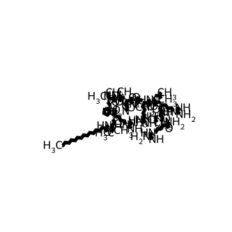 CCCCCCCCCCCCCCCC(=O)N[C@H](C(=O)C[C@@H](CCCNC(=N)N)C(=O)N1CCC[C@H]1C(=O)C[C@H](C(=O)N[C@@H](C)C(=O)C[C@@H](CC(N)=O)C(=O)N[C@@H](C)C(=O)C[C@@H](CCCNC(=N)N)C(=O)N[C@@H](CC(C)C)C(=O)C[C@@H](CCCNC(=N)N)C(=O)N[C@@H](CC(C)C)C(=O)C[C@@H](CCCNC(=N)N)C(N)=O)C(C)C)C(C)C